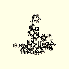 CC[C@@H]1C[C@]1(NC(=O)[C@@H]1C[C@@H](Oc2cc(-c3nc(C(C)C)cs3)nc3c(Cl)c(OCCN4CCOCC4)ccc23)[C@H]2CN(C(=O)OC(C)(C)C)[C@H]([C@@H](C)CC)C(=O)N21)C(=O)NS(=O)(=O)C1CC1